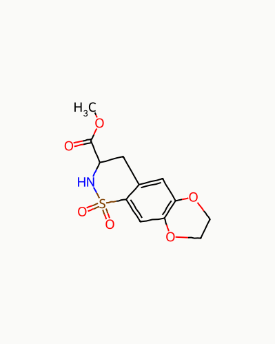 COC(=O)C1Cc2cc3c(cc2S(=O)(=O)N1)OCCO3